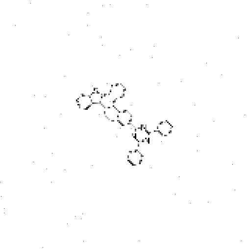 c1ccc(-c2nc(-c3ccccc3)nc(-c3ccc4c(ccc5c4c4ccccc4c4sc6ccccc6c54)c3)n2)cc1